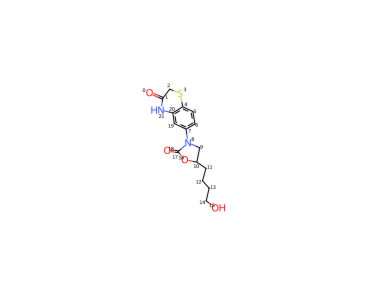 O=C1CSc2ccc(N3CC(CCCCO)OC3=O)cc2N1